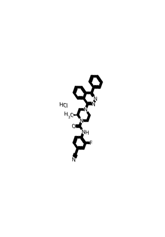 C[C@H]1CN(c2nnc(-c3ccccc3)c3ccccc23)CCN1C(=O)Nc1ccc(C#N)cc1F.Cl